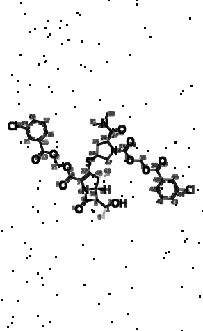 C[C@@H](O)[C@H]1C(=O)N2C(C(=O)OCOC(=O)c3cccc(Cl)c3)=C(S[C@H]3C[C@@H](C(=O)N(C)C)N(C(=O)OCOC(=O)c4cccc(Cl)c4)C3)[C@H](C)[C@H]12